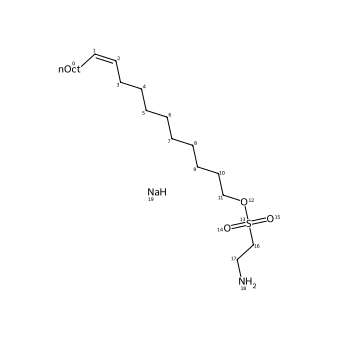 CCCCCCCC/C=C\CCCCCCCCCOS(=O)(=O)CCN.[NaH]